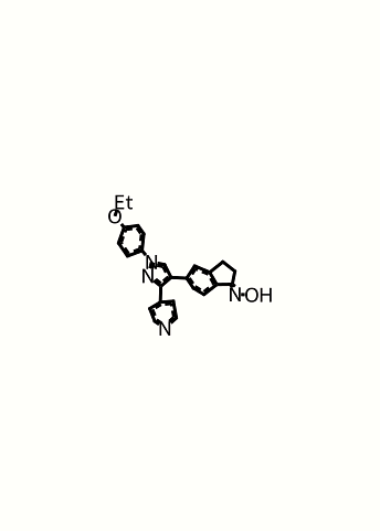 [CH2]COc1ccc(-n2cc(-c3ccc4c(c3)CCC4=NO)c(-c3ccncc3)n2)cc1